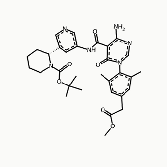 COC(=O)Cc1cc(C)c(-n2cnc(N)c(C(=O)Nc3cncc([C@H]4CCCCN4C(=O)OC(C)(C)C)c3)c2=O)c(C)c1